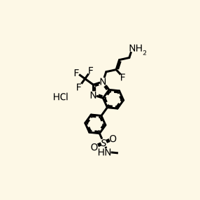 CNS(=O)(=O)c1cccc(-c2cccc3c2nc(C(F)(F)F)n3C/C(F)=C/CN)c1.Cl